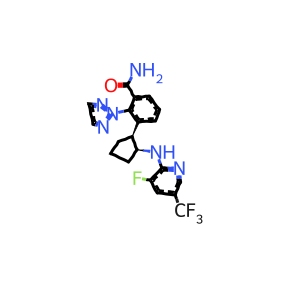 NC(=O)c1cccc([C@@H]2CCC[C@@H]2Nc2ncc(C(F)(F)F)cc2F)c1-n1nccn1